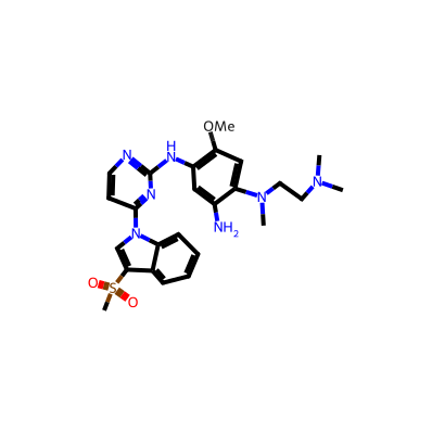 COc1cc(N(C)CCN(C)C)c(N)cc1Nc1nccc(-n2cc(S(C)(=O)=O)c3ccccc32)n1